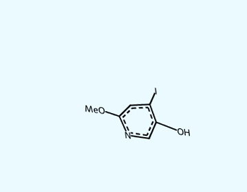 COc1cc(I)c(O)cn1